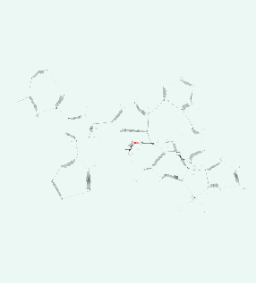 Cc1cccc(-c2nc(-c3ccccc3)nc(-c3ccc4c(c3)C3(c5ccccc5Oc5cc6c(cc53)-c3ccccc3C6(C)C)c3ccccc3-c3ccccc3-4)n2)c1